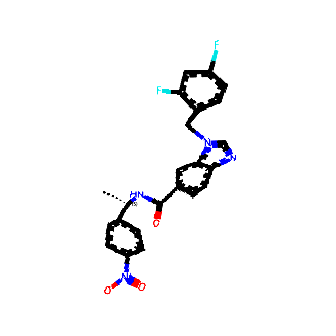 C[C@H](NC(=O)c1ccc2ncn(Cc3ccc(F)cc3F)c2c1)c1ccc([N+](=O)[O-])cc1